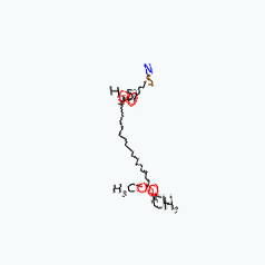 CCOC(CCCCCCCCCCCCCCCCC(=O)O[SiH2]CCCCSC#N)OCC